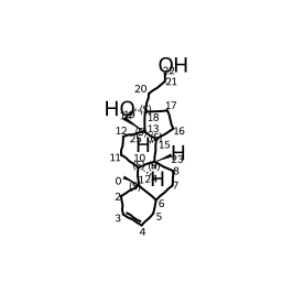 C[C@]12CC=CCC1CC[C@@H]1[C@@H]2CC[C@@]2(C)[C@H]1CC[C@]2(O)CCO